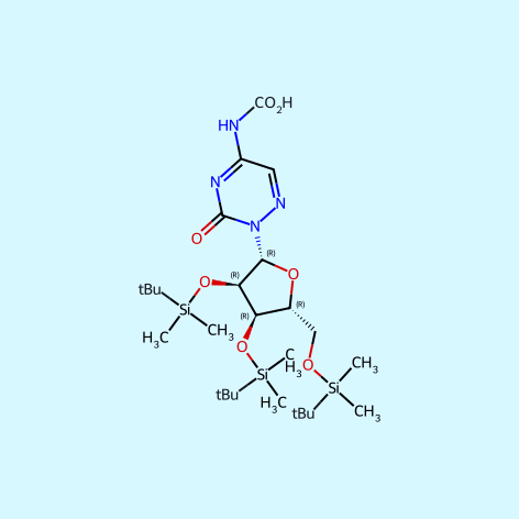 CC(C)(C)[Si](C)(C)OC[C@H]1O[C@@H](n2ncc(NC(=O)O)nc2=O)[C@H](O[Si](C)(C)C(C)(C)C)[C@@H]1O[Si](C)(C)C(C)(C)C